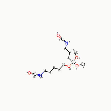 CCO[Si](CCCN=C=O)(OCC)OCCCCCN=C=O